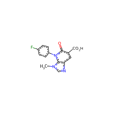 Cn1cnc2cc(C(=O)O)c(=O)n(-c3ccc(F)cc3)c21